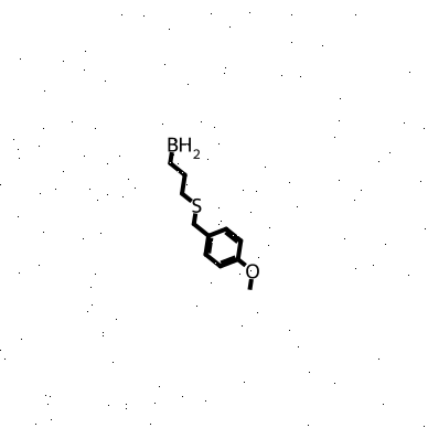 BCCCSCc1ccc(OC)cc1